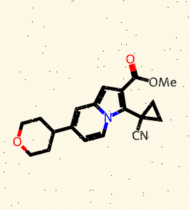 COC(=O)c1cc2cc(C3CCOCC3)ccn2c1C1(C#N)CC1